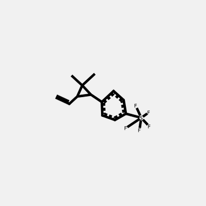 C=CC1C(c2ccc(S(F)(F)(F)(F)F)cc2)C1(C)C